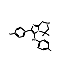 Cc1ccc(Nc2c(-c3ccc(F)cc3)nc3n2C(C)(C)CNC3)cc1